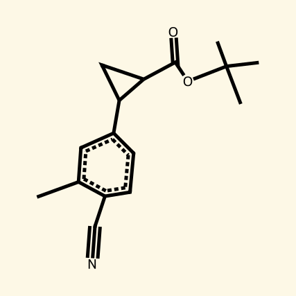 Cc1cc(C2CC2C(=O)OC(C)(C)C)ccc1C#N